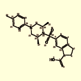 C=C(O)C1CCc2ccc(S(=O)(=O)N3[C@H](C)CN(c4ccc(C)cn4)C[C@@H]3C)cc21